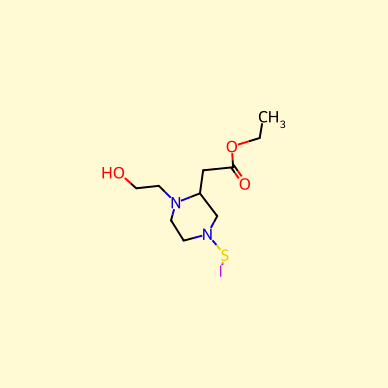 CCOC(=O)CC1CN(SI)CCN1CCO